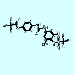 O=C(Nc1ccc(SC(=O)C(F)(F)F)cc1)Nc1cc(Cl)c(OS(=O)(=O)C(F)(F)F)c(Cl)c1